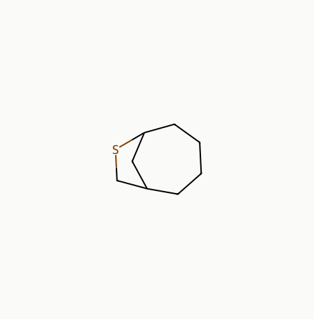 C1CCC2CC(C1)CS2